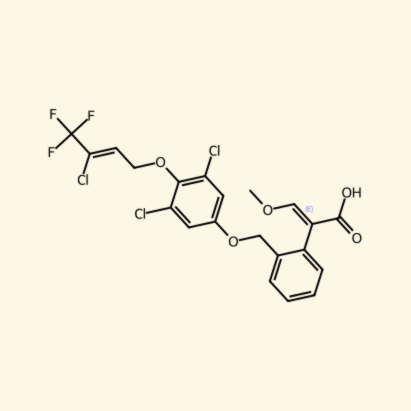 CO/C=C(/C(=O)O)c1ccccc1COc1cc(Cl)c(OCC=C(Cl)C(F)(F)F)c(Cl)c1